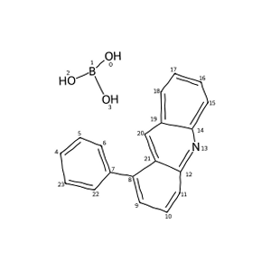 OB(O)O.c1ccc(-c2cccc3nc4ccccc4cc23)cc1